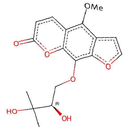 COc1c2ccoc2c(OC[C@@H](O)C(C)(C)O)c2oc(=O)ccc12